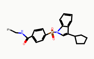 CC(C)CNC(=O)c1ccc(S(=O)(=O)n2cc(C3CCCC3)c3ccccc32)cc1